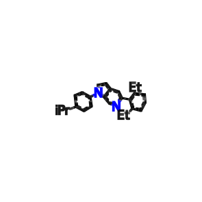 CCc1cccc(CC)c1-c1cc2ccn(-c3ccc(C(C)C)cc3)c2cn1